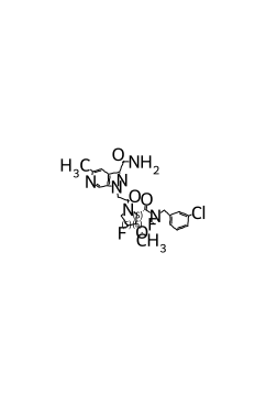 CO[C@H]1[C@@H](C(=O)N(F)Cc2cccc(Cl)c2)N(C(=O)Cn2nc(C(N)=O)c3cc(C)ncc32)C[C@@H]1F